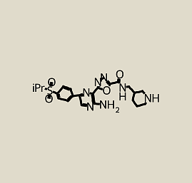 CC(C)S(=O)(=O)c1ccc(-c2cnc(N)c(-c3nnc(C(=O)NCC4CCCNC4)o3)n2)cc1